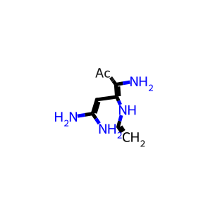 C=CN/C(C=C(N)N)=C(\N)C(C)=O